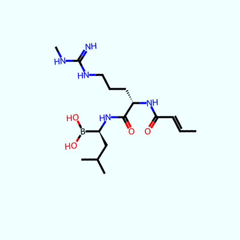 C/C=C/C(=O)N[C@@H](CCCNC(=N)NC)C(=O)N[C@@H](CC(C)C)B(O)O